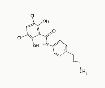 CCCCc1ccc(NC(=O)c2c(O)c(Cl)cc(Cl)c2O)cc1